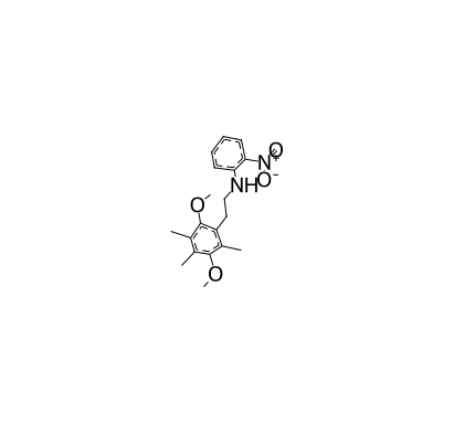 COc1c(C)c(C)c(OC)c(CCNc2ccccc2[N+](=O)[O-])c1C